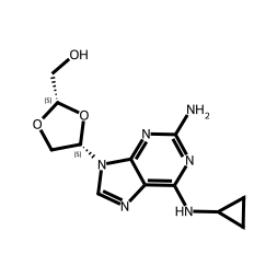 Nc1nc(NC2CC2)c2ncn([C@@H]3CO[C@H](CO)O3)c2n1